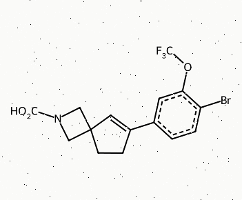 O=C(O)N1CC2(C=C(c3ccc(Br)c(OC(F)(F)F)c3)CC2)C1